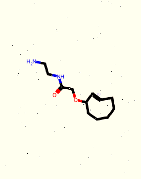 NCCNC(=O)COC1/C=C/CCCCC1